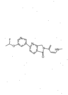 C=C(/C=C\NC)N1Cc2nc(-c3cncc(OC(C)F)c3)ccc2C1=O